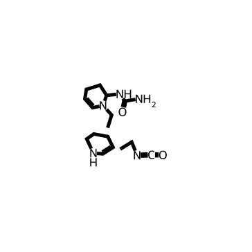 C1=CNCCC1.CCN1C=CCCC1NC(N)=O.CCN=C=O